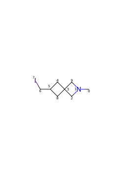 CN1CC2(CC(CI)C2)C1